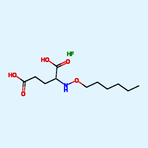 CCCCCCONC(CCC(=O)O)C(=O)O.F